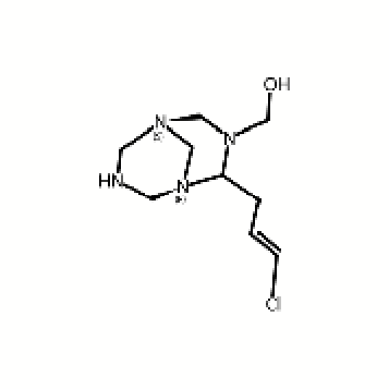 OCN1C[N@]2CNC[N@@](C2)C1CC=CCl